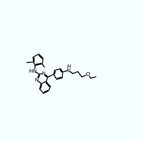 CCOCCCNc1ccc(-c2nc(Nc3c(C)cccc3C)nc3ccccc23)cc1